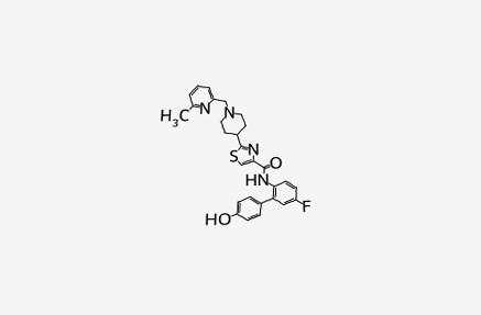 Cc1cccc(CN2CCC(c3nc(C(=O)Nc4ccc(F)cc4-c4ccc(O)cc4)cs3)CC2)n1